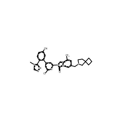 Cn1cnnc1-c1ccc(C#N)cc1-c1cc(Cl)nc(-n2cc3c(C(F)(F)F)cc(CN4CCC5(CCC5)C4)cn3c2=O)c1